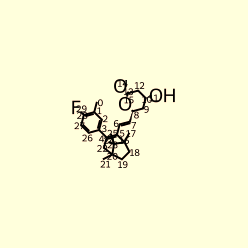 Cc1cc(C2=C(/C=C/[C@@H]3C[C@@H](O)CC(=O)O3)C3(C)CCC(C)(C2)C3(C)C)ccc1F